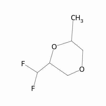 CC1COCC(C(F)F)O1